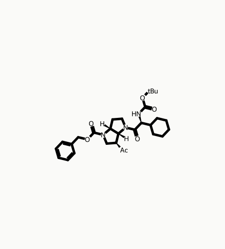 CC(=O)[C@H]1CN(C(=O)OCc2ccccc2)[C@@H]2CCN(C(=O)[C@@H](NC(=O)OC(C)(C)C)C3CCCCC3)[C@H]12